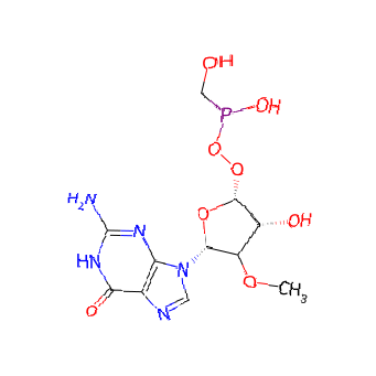 COC1[C@@H](O)[C@@H](OOP(O)CO)O[C@H]1n1cnc2c(=O)[nH]c(N)nc21